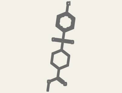 COC(=O)C1CCC(S(=O)(=O)c2ccc(Cl)cc2)CC1